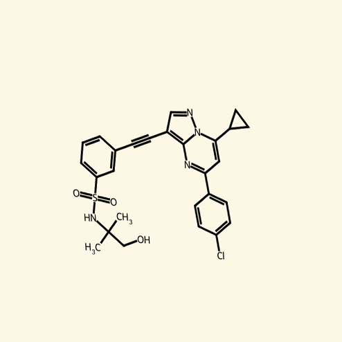 CC(C)(CO)NS(=O)(=O)c1cccc(C#Cc2cnn3c(C4CC4)cc(-c4ccc(Cl)cc4)nc23)c1